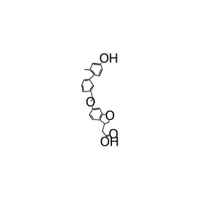 Cc1cc(O)ccc1-c1cccc(COc2ccc3c(c2)OCC3CC(=O)O)c1